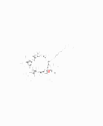 CCCCCCCCCC[C@H]1OC(=O)CNC(=O)[C@H]([C@H](C)O)NC(=O)[C@H](CN)NC(=O)[C@H]([C@H](C)CC)NC(=O)[C@H](CC(C)C)N(C)C(=O)[C@@H]1C